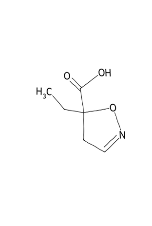 CCC1(C(=O)O)CC=NO1